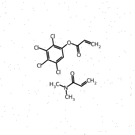 C=CC(=O)N(C)C.C=CC(=O)Oc1cc(Cl)c(Cl)c(Cl)c1Cl